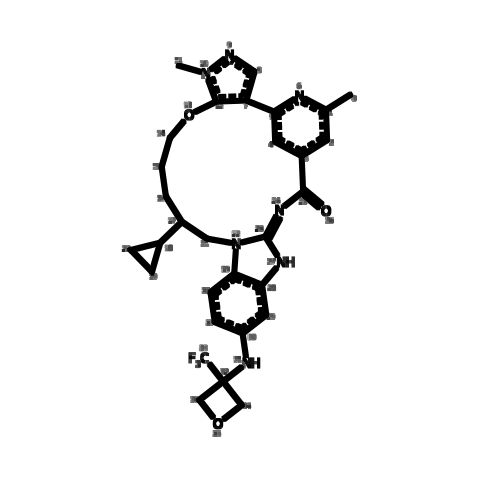 Cc1cc2cc(n1)-c1cnn(C)c1OCCCC(C1CC1)CN1/C(=N/C2=O)Nc2cc(NC3(C(F)(F)F)COC3)ccc21